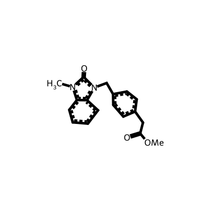 COC(=O)Cc1ccc(Cn2c(=O)n(C)c3ccccc32)cc1